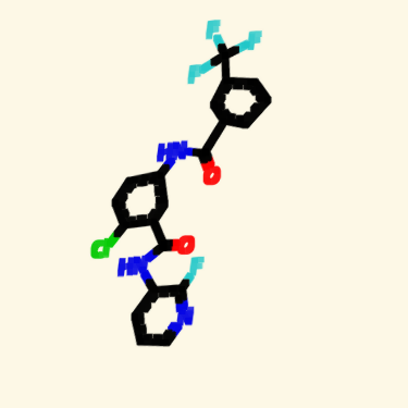 O=C(Nc1ccc(Cl)c(C(=O)Nc2cccnc2F)c1)c1cccc(C(F)(F)F)c1